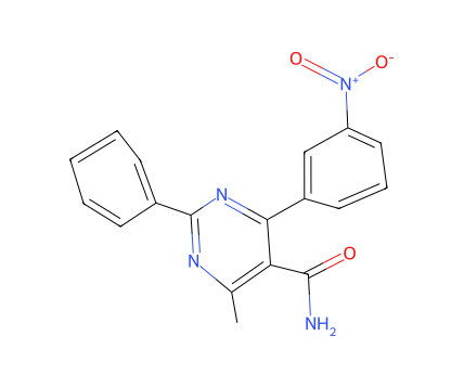 Cc1nc(-c2ccccc2)nc(-c2cccc([N+](=O)[O-])c2)c1C(N)=O